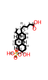 C[C@H](CCC(=O)O)[C@H]1CC[C@H]2[C@@H]3CC[C@@H]4C[C@@](O)(OS(=O)(=O)O)CC[C@]4(C)[C@H]3CC[C@]12C